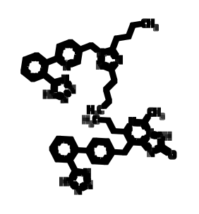 CCCCc1nc(CCCC)n(Cc2ccc(-c3ccccc3-c3nnn[nH]3)nc2)n1.CCCc1nc(C)n2[nH]c(=O)nc2c1Cc1ccc(-c2ccccc2-c2nnn[nH]2)cc1